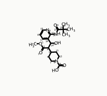 COC(=O)C(C1CCN(C(=O)O)CC1)C(O)c1cccnc1NC(=O)C(C)(C)C